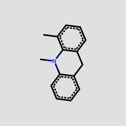 Cc1cccc2c1N(C)c1ccccc1C2